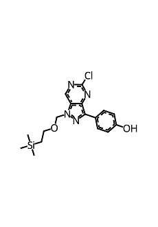 C[Si](C)(C)CCOCn1nc(-c2ccc(O)cc2)c2nc(Cl)ncc21